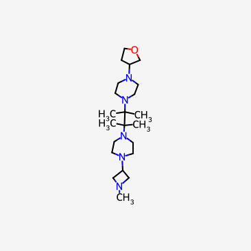 CN1CC(N2CCN(C(C)(C)C(C)(C)N3CCN(C4CCOC4)CC3)CC2)C1